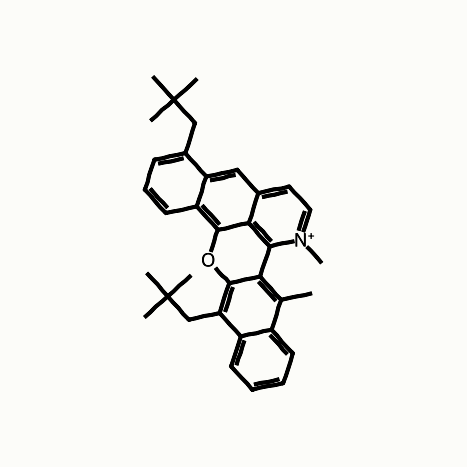 Cc1c2c(c(CC(C)(C)C)c3ccccc13)Oc1c3cccc(CC(C)(C)C)c3cc3cc[n+](C)c-2c13